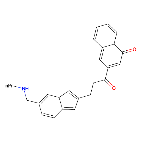 CCCNCC1=CC2C=C(CCC(=O)C3=CC(=O)C4C=CC=CC4=C3)C=C2C=C1